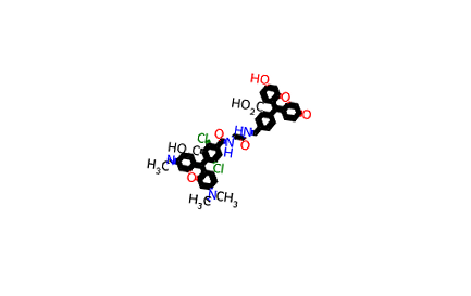 C/N=c1/ccc2c(-c3c(Cl)cc(C(=O)NCC(=O)NCc4ccc(-c5c6ccc(=O)cc-6oc6cc(O)ccc56)c(C(=O)O)c4)c(Cl)c3C(=O)O)c3ccc(N(C)C)cc3oc-2c1